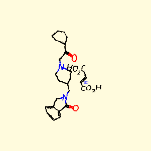 O=C(CN1CCC(CN2Cc3ccccc3C2=O)CC1)C1CCCCC1.O=C(O)/C=C/C(=O)O